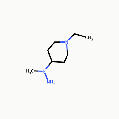 CCN1CCC(N(C)N)CC1